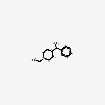 C[C](C)CN1CCC(C(N)c2cccnc2)CC1